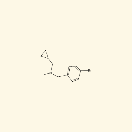 CN(Cc1ccc(Br)cc1)CC1CC1